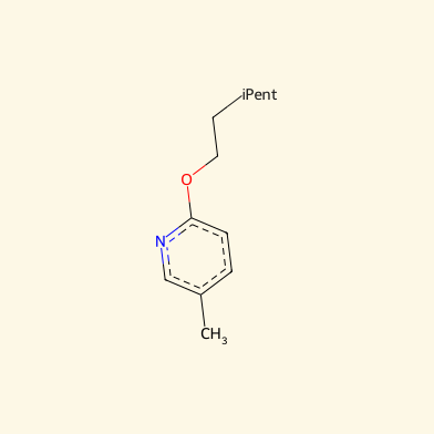 CCCC(C)CCOc1ccc(C)cn1